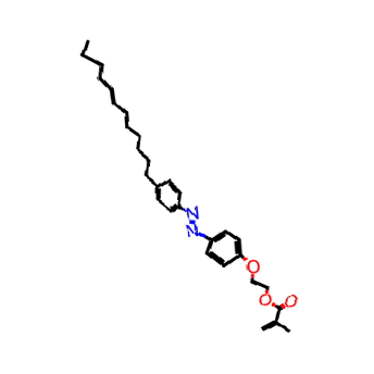 C=C(C)C(=O)OCCOc1ccc(/N=N/c2ccc(CCCCCCCCCCCC)cc2)cc1